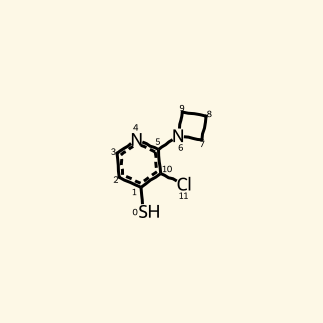 Sc1ccnc(N2CCC2)c1Cl